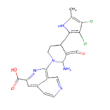 Cc1[nH]c(C2CCN(c3nc(C(=O)O)cc4ccncc34)C(N)C2=C=O)c(Cl)c1Cl